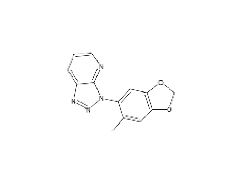 Cc1cc2c(cc1-n1nnc3cccnc31)OCO2